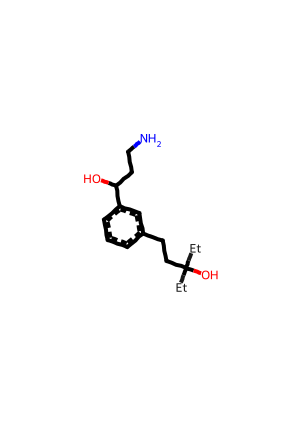 CCC(O)(CC)CCc1cccc(C(O)CCN)c1